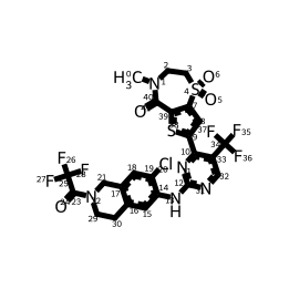 CN1CCS(=O)(=O)c2cc(-c3nc(Nc4cc5c(cc4Cl)CN(C(=O)C(F)(F)F)CC5)ncc3C(F)(F)F)sc2C1=O